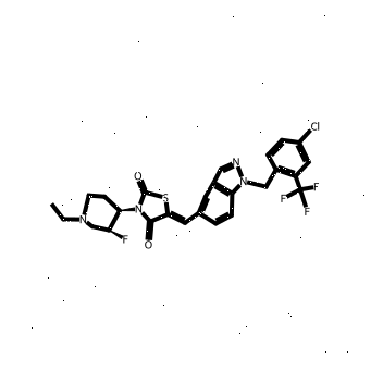 CCN1CC[C@@H](N2C(=O)SC(=Cc3ccc4c(cnn4Cc4ccc(Cl)cc4C(F)(F)F)c3)C2=O)[C@@H](F)C1